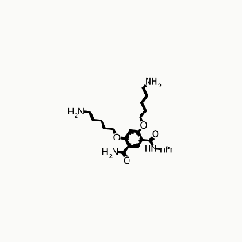 CCCNC(=O)c1cc(C(N)=O)c(OCCCCCN)cc1OCCCCCN